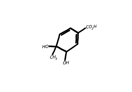 CC1(O)C=CC(C(=O)O)=CC1O